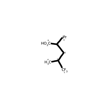 CC(C)C(CC(C)C(F)(F)F)C(=O)O